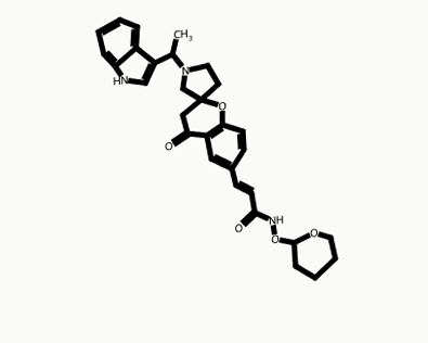 CC(c1c[nH]c2ccccc12)N1CCC2(CC(=O)c3cc(/C=C/C(=O)NOC4CCCCO4)ccc3O2)C1